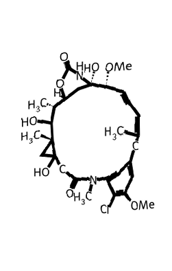 COc1cc2cc(c1Cl)N(C)C(=O)CC1(O)C[C@]1(C)C(O)[C@H](C)[C@@H]1C[C@@](O)(NC(=O)O1)[C@H](OC)/C=C/C=C(\C)C2